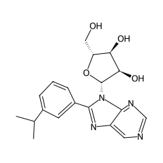 CC(C)c1cccc(-c2nc3cncnc3n2[C@@H]2O[C@H](CO)[C@@H](O)[C@H]2O)c1